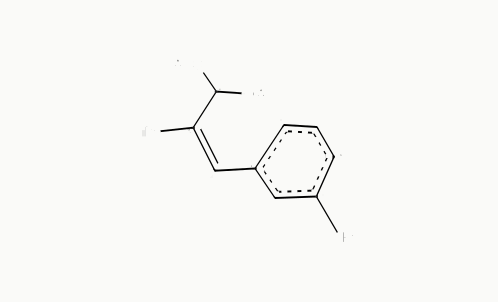 CC(=O)OC(OC(C)=O)C(=Cc1cccc(C(C)C)c1)C(C)C